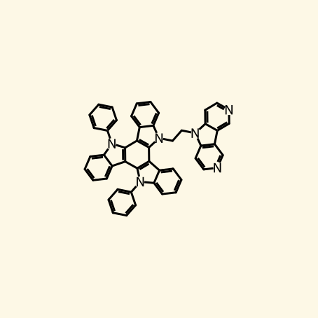 c1ccc(-n2c3ccccc3c3c4c(c5ccccc5n4CCn4c5ccncc5c5cnccc54)c4c(c5ccccc5n4-c4ccccc4)c32)cc1